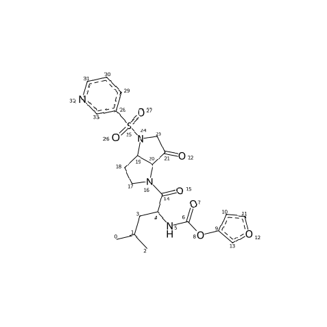 CC(C)CC(NC(=O)Oc1ccoc1)C(=O)N1CCC2C1C(=O)CN2S(=O)(=O)c1cccnc1